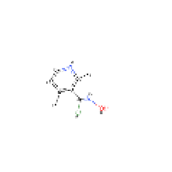 Cc1ccnc(C)c1/C(Cl)=N/O